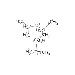 C=C(C)C(=O)O.C[SiH](C)O[SiH](C)C